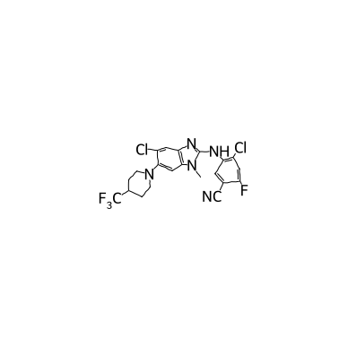 Cn1c(Nc2cc(C#N)c(F)cc2Cl)nc2cc(Cl)c(N3CCC(C(F)(F)F)CC3)cc21